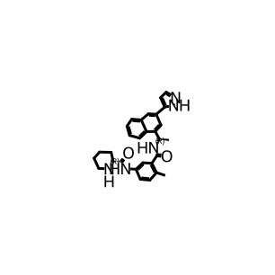 Cc1ccc(NC(=O)[C@H]2CCCCN2)cc1C(=O)N[C@H](C)c1cc(-c2ccn[nH]2)cc2ccccc12